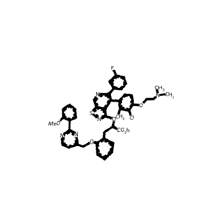 COc1ccccc1-c1nccc(COc2ccccc2CC(Oc2nsc3cnc(-c4cccc(F)c4)c(-c4ccc(OCCN(C)C)c(Cl)c4C)c23)C(=O)O)n1